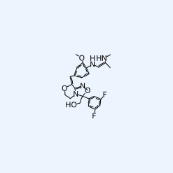 CN/C(C)=C\Nc1ccc(/C=C2/OCCN3C2=NOC3(CO)c2cc(F)cc(F)c2)cc1OC